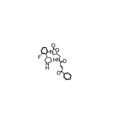 O=C(C=CC(=O)c1ccccc1)NCC1CN(c2cccc(F)c2C2CCNC2)C(=O)O1